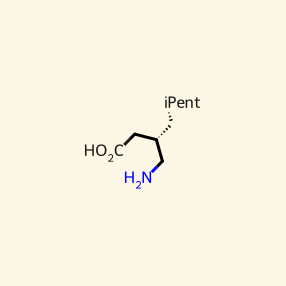 CCC[C@@H](C)C[C@H](CN)CC(=O)O